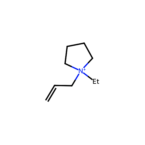 C=CC[N+]1(CC)CCCC1